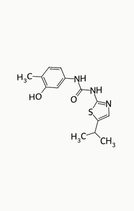 Cc1ccc(NC(=O)Nc2ncc(C(C)C)s2)cc1O